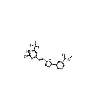 COC(=O)c1cccc(-c2ccc(/C=C/c3cc(C(F)(F)F)[nH]c(=O)n3)o2)c1